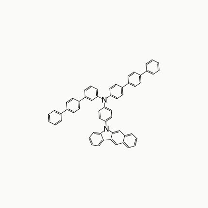 c1ccc(-c2ccc(-c3ccc(N(c4ccc(-n5c6ccccc6c6cc7ccccc7cc65)cc4)c4cccc(-c5ccc(-c6ccccc6)cc5)c4)cc3)cc2)cc1